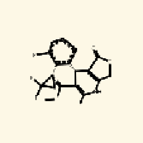 COC(=O)C1=C(C)NC2=C(C(=O)OC2)[C@H]1c1cccc(F)c1[C@@H]1CC1(F)F